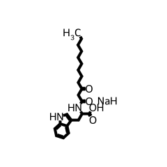 CCCCCCCCCC(=O)CC(=O)NC(Cc1c[nH]c2ccccc12)C(=O)O.[NaH]